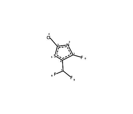 Fc1nc(Cl)sc1C(F)F